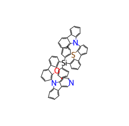 c1ccc([Si](c2ccccc2)(c2cccc3c2oc2c(-n4c5ccccc5c5cnccc54)cccc23)c2cccc3c2sc2c(-n4c5ccccc5c5ccccc54)cccc23)cc1